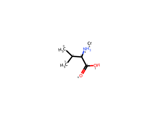 CC(C)C(N)C(=O)O.[Cr]